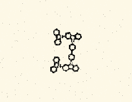 C1=C(n2c3ccccc3c3ccccc32)CCC2c3ccccc3N(c3ccc(-c4ccc(-n5c6ccccc6c6ccc(-n7c8ccccc8c8ccccc87)cc65)cc4)cc3)C12